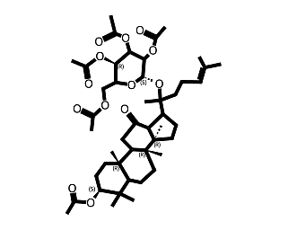 CC(=O)OCC1O[C@@H](OC(C)(CCC=C(C)C)C2CC[C@]3(C)C2C(=O)CC2[C@@]4(C)CC[C@H](OC(C)=O)C(C)(C)C4CC[C@]23C)C(OC(C)=O)C(OC(C)=O)[C@@H]1OC(C)=O